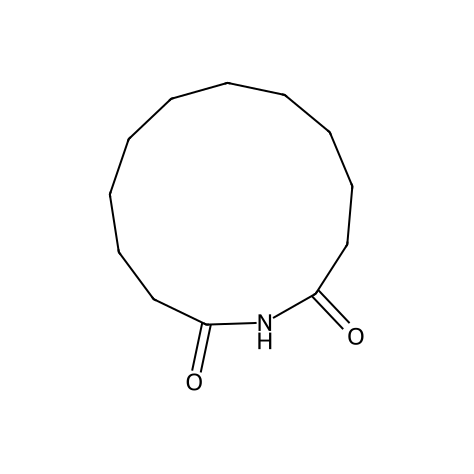 O=C1CCCCCCCCCCC(=O)N1